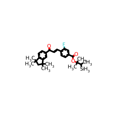 CC([SiH3])C(C)(C)OC(=O)c1ccc(C=CC(=O)c2ccc3c(c2)C(C)(C)CC3(C)C)c(F)c1